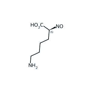 NCCCC[C@H](N=O)C(=O)O